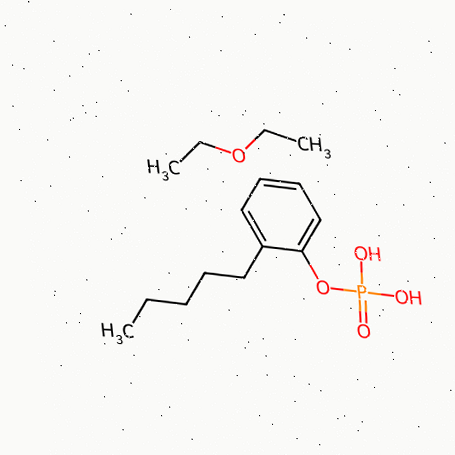 CCCCCc1ccccc1OP(=O)(O)O.CCOCC